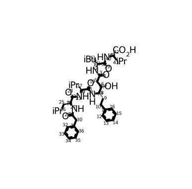 CC[C@H](C)[C@H](NC(=O)C[C@H](O)[C@H](CCc1ccccc1)NC(=O)[C@@H](NC(=O)[C@H](CC(C)C)NC(=O)Cc1ccccc1)C(C)C)C(=O)N[C@H](C(=O)O)C(C)C